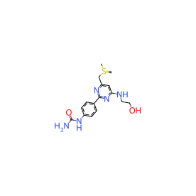 C=S(C)Cc1cc(NCCO)nc(-c2ccc(NC(N)=O)cc2)n1